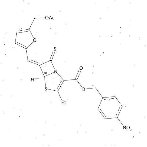 CCC1=C(C(=O)OCc2ccc([N+](=O)[O-])cc2)N2C(=S)C(=Cc3ccc(COC(C)=O)o3)[C@@H]2S1